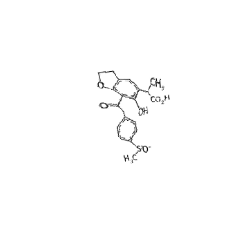 CC(C(=O)O)c1cc2c(c(C(=O)c3ccc([S+](C)[O-])cc3)c1O)OCC2